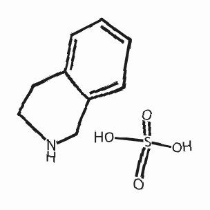 O=S(=O)(O)O.c1ccc2c(c1)CCNC2